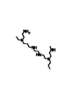 CCCN(CCNC)CCNCCNCCCN(CC)CCN